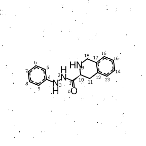 O=C(NNc1ccccc1)[C@@H]1Cc2ccccc2CN1